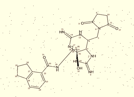 N=C1NC2C(CN3C(=O)CCC3=O)NC(=N)N3CC(NC(=O)c4cccc5c4CCC5)[C@@H](O)[C@]23N1